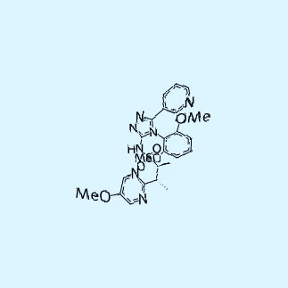 COc1cnc([C@@H](C)[C@H](C)S(=O)(=O)Nc2nnc(-c3cccnc3)n2-c2c(OC)cccc2OC)nc1